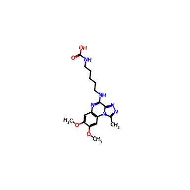 COc1cc2nc(NCCCCCNC(=O)O)c3nnc(C)n3c2cc1OC